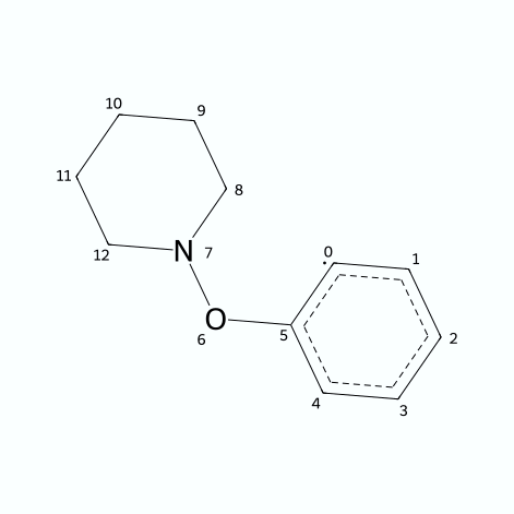 [c]1ccccc1ON1CCCCC1